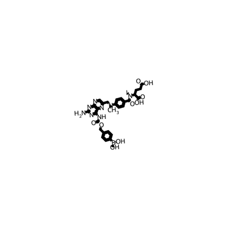 CN(Cc1cnc2nc(N)nc(NC(=O)OCc3ccc(B(O)O)cc3)c2n1)c1ccc(C(=O)N(I)C(CCC(=O)O)C(=O)O)cc1